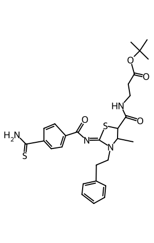 CC1C(C(=O)NCCC(=O)OC(C)(C)C)SC(=NC(=O)c2ccc(C(N)=S)cc2)N1CCc1ccccc1